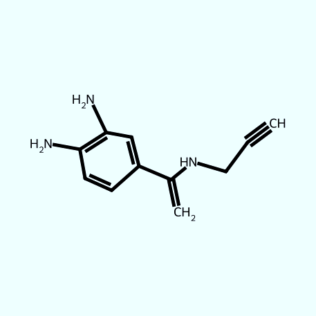 C#CCNC(=C)c1ccc(N)c(N)c1